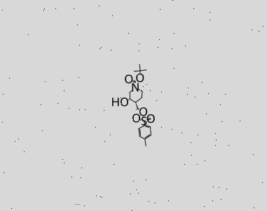 Cc1ccc(S(=O)(=O)OC[C@@H]2CCN(C(=O)OC(C)(C)C)C[C@H]2O)cc1